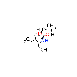 CC[C](NC(=O)OC(C)(C)C)C(C)CC